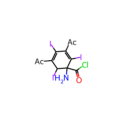 CC(=O)C1=C(I)C(N)(C(=O)Cl)C(I)C(C(C)=O)=C1I